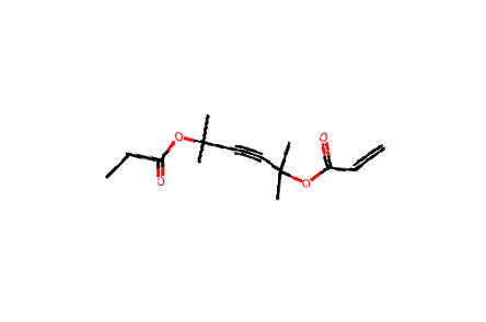 C=CC(=O)OC(C)(C)C#CC(C)(C)OC(=O)CC